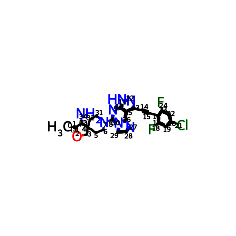 C[C@@H]1OCC2(CCN(c3nc4[nH]nc(C#Cc5c(F)cc(Cl)cc5F)c4c4nccn34)CC2)[C@@H]1N